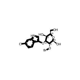 OC[C@H]1O[C@@H](O)[C@H](OBr)[C@@H](Oc2c[nH]c3cc(Cl)ccc23)[C@H]1O